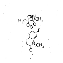 CN1C(=O)CCc2cc(B3OC(C)(C)C(C)(C)O3)c(F)cc21